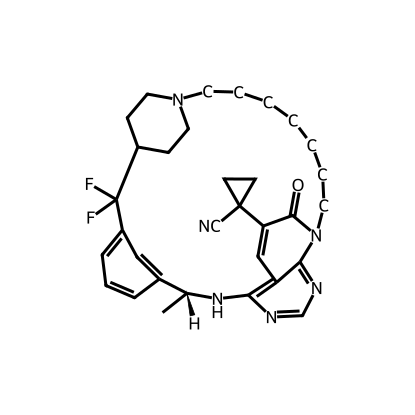 C[C@H]1Nc2ncnc3c2cc(C2(C#N)CC2)c(=O)n3CCCCCCCN2CCC(CC2)C(F)(F)c2cccc1c2